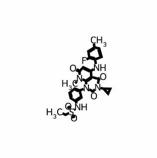 CCS(=O)(=O)Nc1cccc(-n2c(=O)n(C3CC3)c(=O)c3c(Nc4ccc(C)cc4F)cc(=O)n(C)c32)c1